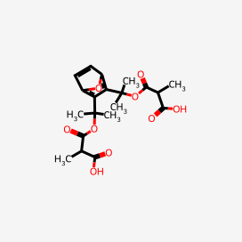 CC(C(=O)O)C(=O)OC(C)(C)c1c(C(C)(C)OC(=O)C(C)C(=O)O)c2ccc1o2